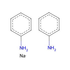 Nc1ccccc1.Nc1ccccc1.[Na]